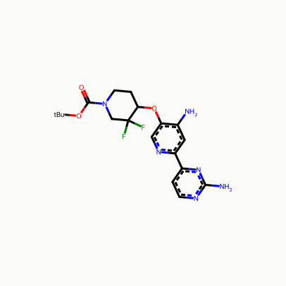 CC(C)(C)OC(=O)N1CCC(Oc2cnc(-c3ccnc(N)n3)cc2N)C(F)(F)C1